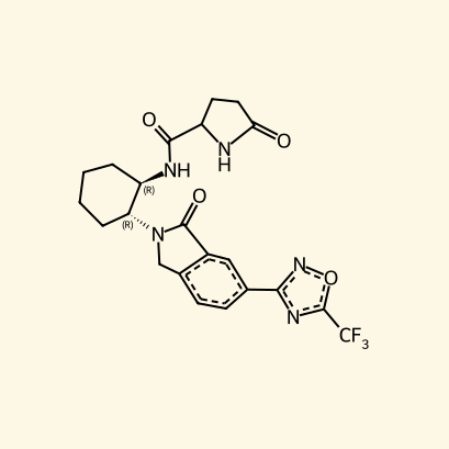 O=C1CCC(C(=O)N[C@@H]2CCCC[C@H]2N2Cc3ccc(-c4noc(C(F)(F)F)n4)cc3C2=O)N1